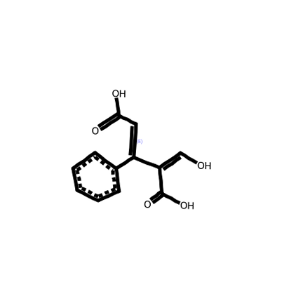 O=C(O)/C=C(/C(=CO)C(=O)O)c1ccccc1